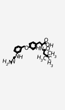 CC(C)(C)CC(=O)NC(Cc1ccc(OCc2cccc(NC=NN)c2)cc1)C(=O)O